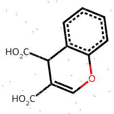 O=C(O)C1=COc2ccccc2C1C(=O)O